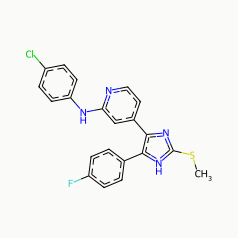 CSc1nc(-c2ccnc(Nc3ccc(Cl)cc3)c2)c(-c2ccc(F)cc2)[nH]1